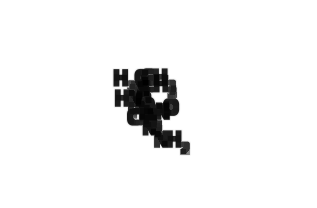 Cc1ccc(NC(=O)c2ccc(C(C)(C)C)s2)cc1-c1cc2cnc(CCCN)cc2n(CCN2CCOCC2)c1=O